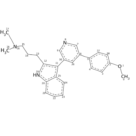 COc1ccc(-c2cncc(-c3c(CCCN(C)C)[nH]c4ccccc34)c2)cc1